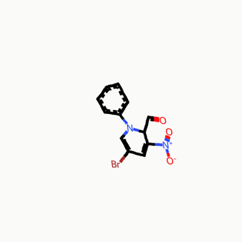 O=CC1C([N+](=O)[O-])=CC(Br)=CN1c1ccccc1